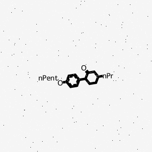 CCCCCOc1ccc(C2CCC(CCC)CC2=O)cc1